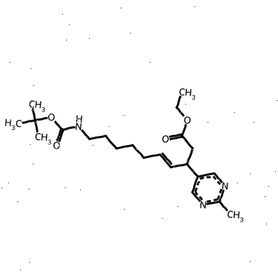 CCOC(=O)CC(C=CCCCCCNC(=O)OC(C)(C)C)c1cnc(C)nc1